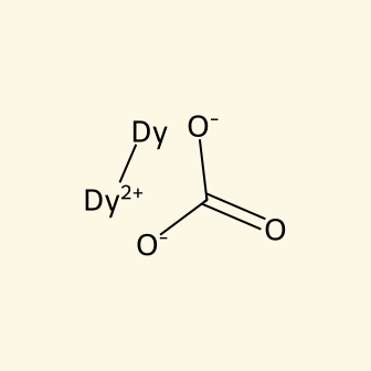 O=C([O-])[O-].[Dy][Dy+2]